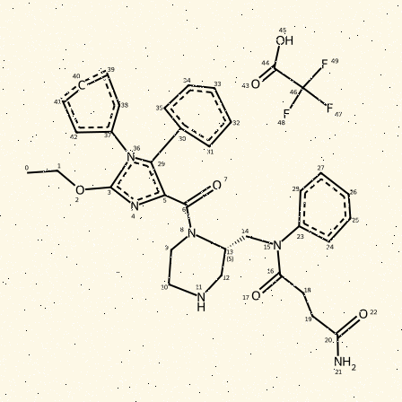 CCOc1nc(C(=O)N2CCNC[C@H]2CN(C(=O)CCC(N)=O)c2ccccc2)c(-c2ccccc2)n1-c1ccccc1.O=C(O)C(F)(F)F